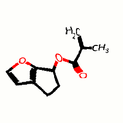 C=C(C)C(=O)OC1CCc2ccoc21